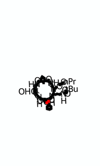 CCCOCCOCCN1CCNC(=O)c2cccc(c2C)C(=O)NCCN(C=O)CCNC(=O)c2cccc(c2OCc2ccccc2)C(=O)NC(CCCCNC(=O)OC(C)(C)C)C1